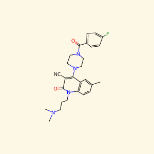 Cc1ccc2c(c1)c(N1CCN(C(=O)c3ccc(F)cc3)CC1)c(C#N)c(=O)n2CCCN(C)C